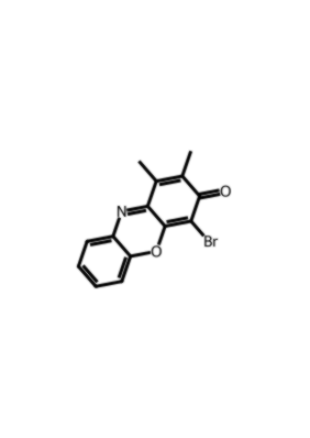 Cc1c2nc3ccccc3oc-2c(Br)c(=O)c1C